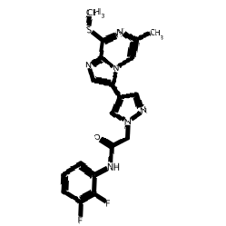 CSc1nc(C)cn2c(-c3cnn(CC(=O)Nc4cccc(F)c4F)c3)cnc12